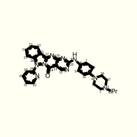 CC(C)N1CCN(c2ccc(Nc3ncc4c(=O)n5c(nc4n3)c3ccccc3n5-c3ccccn3)cc2)CC1